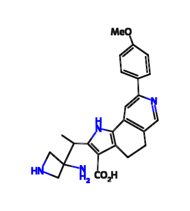 COc1ccc(-c2cc3c(cn2)CCc2c-3[nH]c(C(C)C3(N)CNC3)c2C(=O)O)cc1